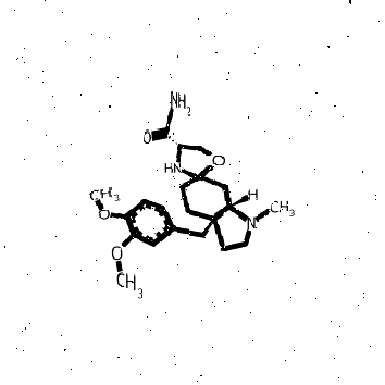 COc1ccc(C[C@]23CCN(C)[C@H]2CC2(CC3)N[C@H](C(N)=O)CO2)cc1OC